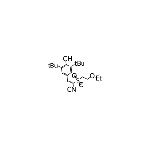 CCOCCS(=O)(=O)/C(C#N)=C\c1cc(C(C)(C)C)c(O)c(C(C)(C)C)c1